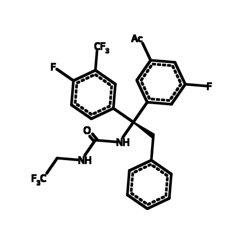 CC(=O)c1cc(F)cc([C@](Cc2ccccc2)(NC(=O)NCC(F)(F)F)c2ccc(F)c(C(F)(F)F)c2)c1